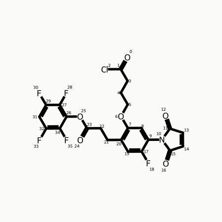 O=C(Cl)CCCOc1cc(N2C(=O)C=CC2=O)c(F)cc1CCC(=O)Oc1c(F)c(F)cc(F)c1F